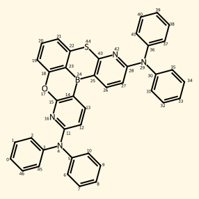 c1ccc(N(c2ccccc2)c2ccc3c(n2)Oc2cccc4c2B3c2ccc(N(c3ccccc3)c3ccccc3)nc2S4)cc1